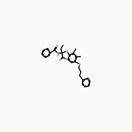 CCC(NC(=O)c1ccccc1)(Oc1ccc(OCCCc2ccccc2)c(C)c1C)C(=O)O